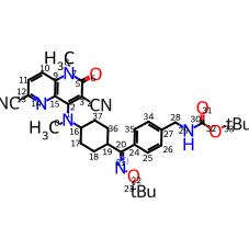 CN(c1c(C#N)c(=O)n(C)c2ccc(C#N)nc12)C1CCC(/C(=N/OC(C)(C)C)c2ccc(CNC(=O)OC(C)(C)C)cc2)CC1